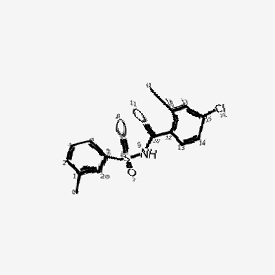 Cc1cccc(S(=O)(=O)NC(=O)c2ccc(Cl)cc2C)c1